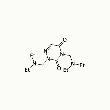 CCN(CC)Cn1ncc(=O)n(CN(CC)CC)c1=O